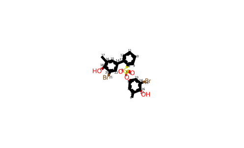 Cc1cc(OS(=O)(=O)c2ccccc2-c2cc(C)c(O)c(Br)c2)cc(Br)c1O